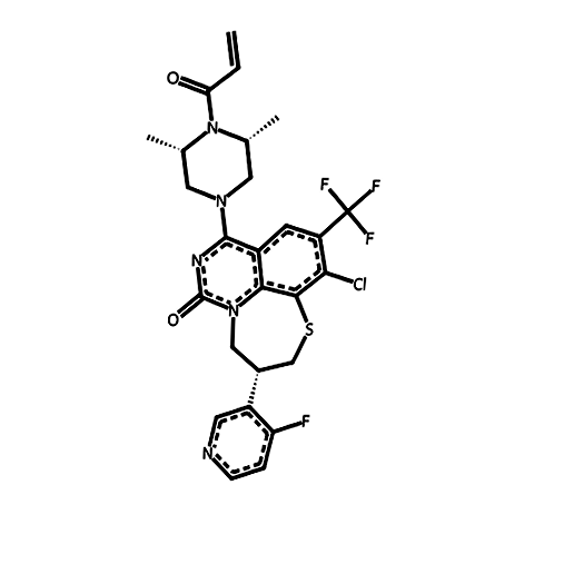 C=CC(=O)N1[C@H](C)CN(c2nc(=O)n3c4c(c(Cl)c(C(F)(F)F)cc24)SC[C@H](c2cnccc2F)C3)C[C@@H]1C